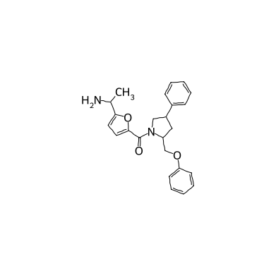 CC(N)c1ccc(C(=O)N2CC(c3ccccc3)CC2COc2ccccc2)o1